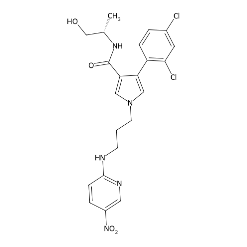 C[C@@H](CO)NC(=O)c1cn(CCCNc2ccc([N+](=O)[O-])cn2)cc1-c1ccc(Cl)cc1Cl